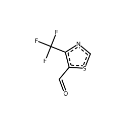 O=Cc1scnc1C(F)(F)F